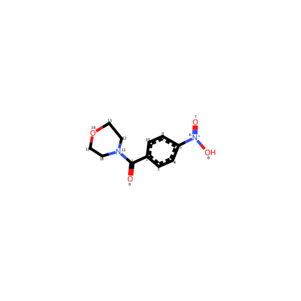 O=C(c1ccc([N+](=O)O)cc1)N1CCOCC1